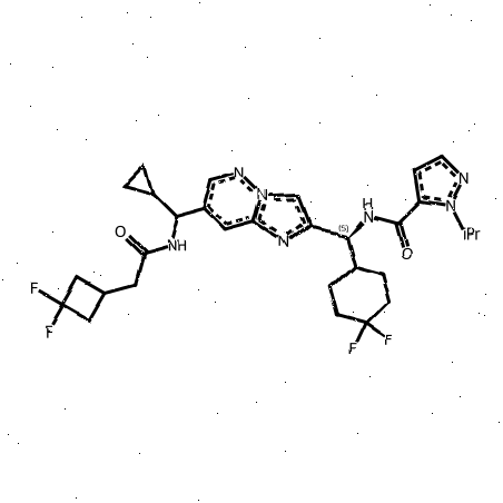 CC(C)n1nccc1C(=O)N[C@H](c1cn2ncc(C(NC(=O)CC3CC(F)(F)C3)C3CC3)cc2n1)C1CCC(F)(F)CC1